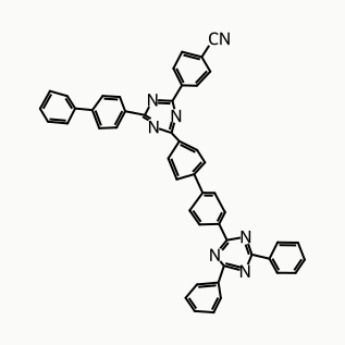 N#Cc1ccc(-c2nc(-c3ccc(-c4ccccc4)cc3)nc(-c3ccc(-c4ccc(-c5nc(-c6ccccc6)nc(-c6ccccc6)n5)cc4)cc3)n2)cc1